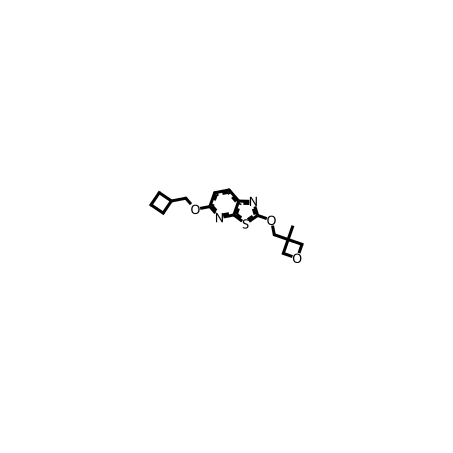 CC1(COc2nc3ccc(OCC4CCC4)nc3s2)COC1